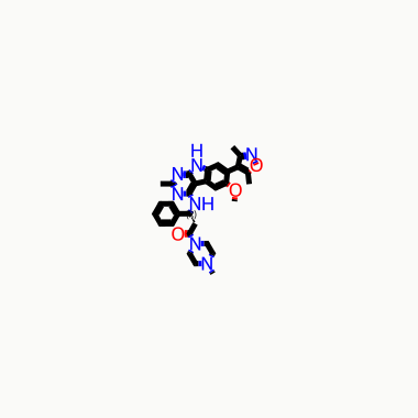 COc1cc2c(cc1-c1c(C)noc1C)[nH]c1nc(C)nc(N[C@H](CC(=O)N3CCN(C)CC3)c3ccccc3)c12